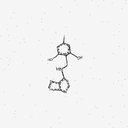 Oc1cc(I)cc(O)c1CNc1ncnc2[nH]cnc12